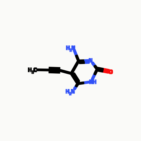 CC#Cc1c(N)nc(=O)[nH]c1N